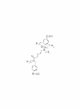 COc1cc(C)c(S(=O)(=O)N(C)CCOCC(=O)N(C)Cc2ccc(NC(C)=O)cc2)c(C)c1